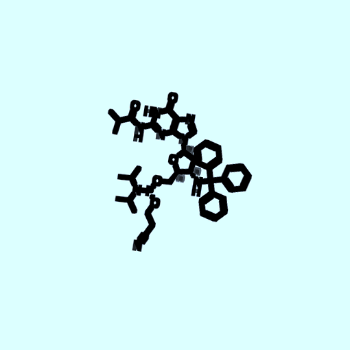 CC(C)C(=O)Nc1nc2c(ncn2[C@H]2C[C@H](NC(c3ccccc3)(c3ccccc3)c3ccccc3)[C@@H](COP(OCCC#N)N(C(C)C)C(C)C)O2)c(=O)[nH]1